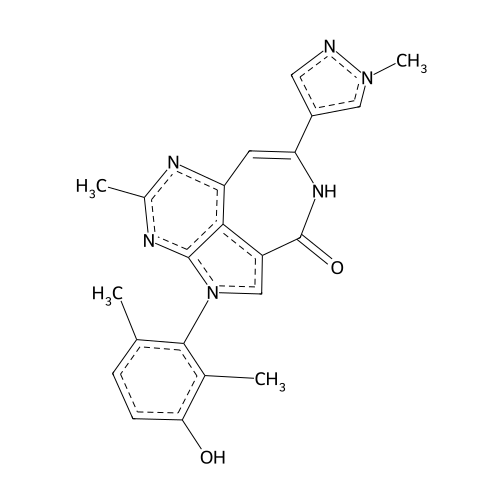 Cc1nc2c3c(cn(-c4c(C)ccc(O)c4C)c3n1)C(=O)NC(c1cnn(C)c1)=C2